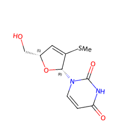 CSC1=C[C@@H](CO)O[C@H]1n1ccc(=O)[nH]c1=O